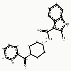 Cc1[nH]c2ccccc2c1C(=O)N[C@H]1CC[C@H](C(=O)c2cccnn2)CC1